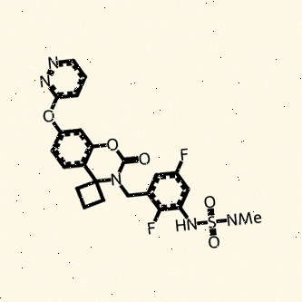 CNS(=O)(=O)Nc1cc(F)cc(CN2C(=O)Oc3cc(Oc4cccnn4)ccc3C23CCC3)c1F